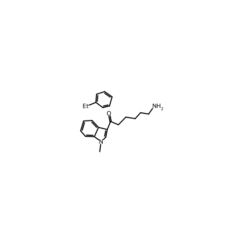 CCc1ccccc1.Cn1cc(C(=O)CCCCCN)c2ccccc21